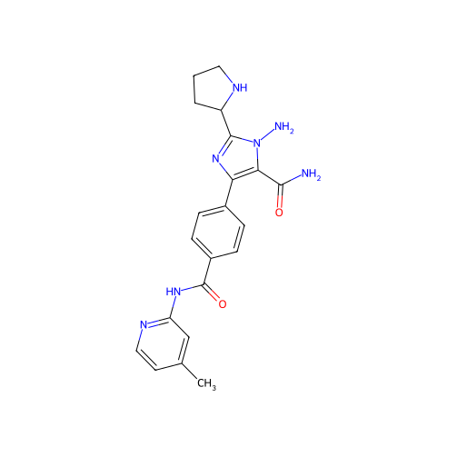 Cc1ccnc(NC(=O)c2ccc(-c3nc(C4CCCN4)n(N)c3C(N)=O)cc2)c1